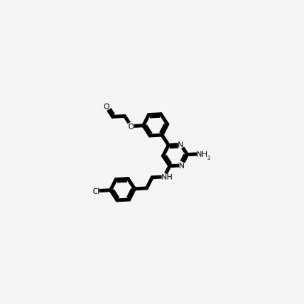 Nc1nc(NCCc2ccc(Cl)cc2)cc(-c2cccc(OCC=O)c2)n1